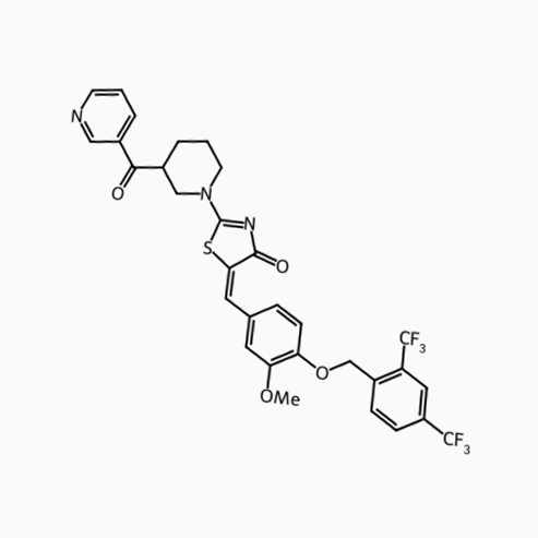 COc1cc(C=C2SC(N3CCCC(C(=O)c4cccnc4)C3)=NC2=O)ccc1OCc1ccc(C(F)(F)F)cc1C(F)(F)F